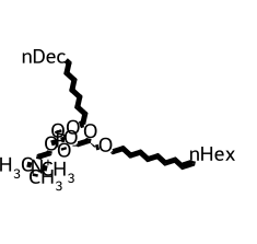 CCCCCC/C=C\CCCCCCCCOC[C@H](COP(=O)([O-])OCC[N+](C)(C)C)OC(=O)CCCCCCCCCCCCCCCCC